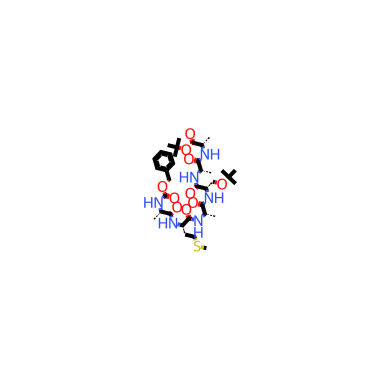 CSCC[C@H](NC(=O)[C@H](C)NC(=O)OCc1ccccc1)C(=O)N[C@@H](C)C(=O)N[C@@H](COC(C)(C)C)C(=O)N[C@@H](C)C(=O)N[C@@H](C)C(=O)OC(C)(C)C